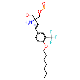 CCCCCCCOc1ccc(/C=C/C(N)(CO)COP=O)cc1C(F)(F)F